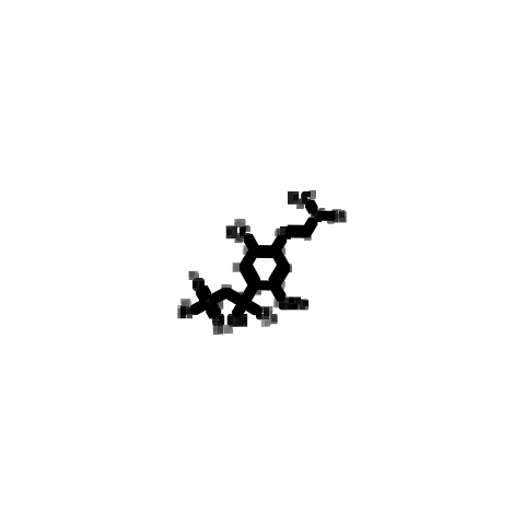 CCN(C)C=Nc1cc(OC)c(C(O)(CS(=O)(=O)C(C)C)C(F)(F)F)cc1C